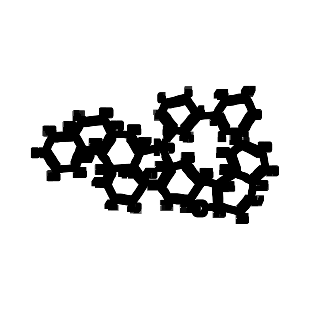 c1ccc(-c2cccc(N(c3ccc4oc5ccc6ccccc6c5c4c3)c3cc4ccc5ccccc5c4c4ccccc34)c2)cc1